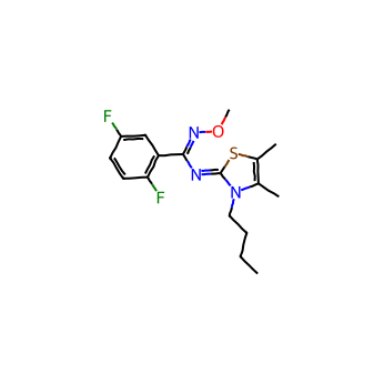 CCCCn1c(C)c(C)sc1=NC(=NOC)c1cc(F)ccc1F